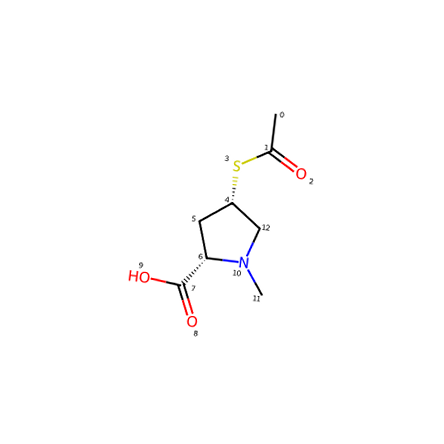 CC(=O)S[C@H]1C[C@@H](C(=O)O)N(C)C1